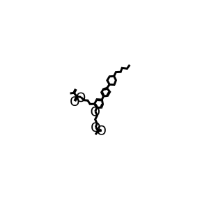 C=C(C)C(=O)OCCCc1cc(-c2ccc(C3CCC(CCCCC)CC3)cc2)ccc1OCCCOC(C)=O